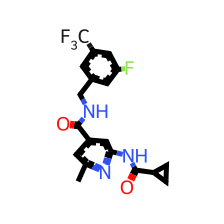 Cc1cc(C(=O)NCc2cc(F)cc(C(F)(F)F)c2)cc(NC(=O)C2CC2)n1